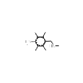 CNCc1c(C)c(C)c(N)c(C)c1C